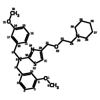 COc1cccc(CN(Cc2cccc(OC)c2)c2nc(COCCN3CCCCC3)cs2)c1